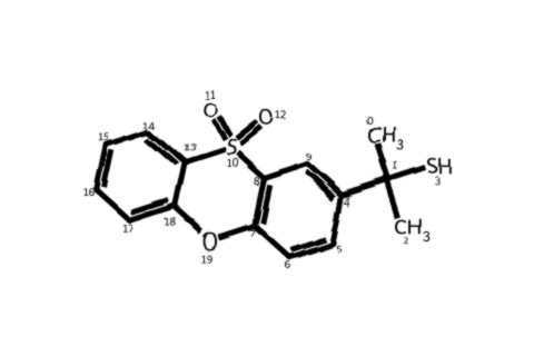 CC(C)(S)c1ccc2c(c1)S(=O)(=O)c1ccccc1O2